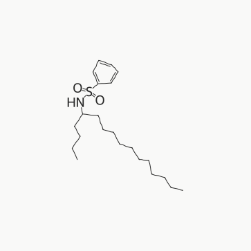 CCCCCCCCCCCC(CCCC)NS(=O)(=O)c1ccccc1